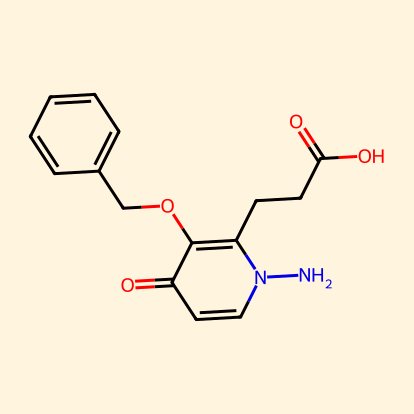 Nn1ccc(=O)c(OCc2ccccc2)c1CCC(=O)O